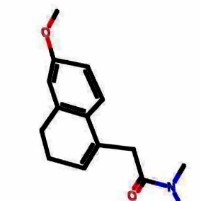 COc1ccc2c(c1)CCC=C2CC(=O)N(C)C